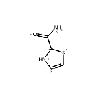 NC(=O)[C]1NC=CS1